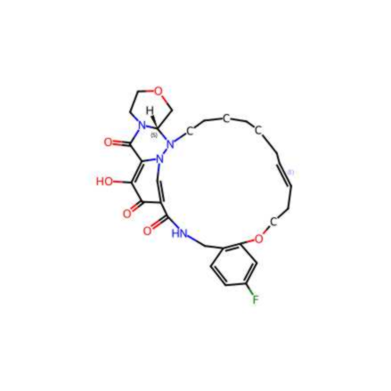 O=C1NCc2ccc(F)cc2OCC/C=C/CCCCCCN2[C@H]3COCCN3C(=O)c3c(O)c(=O)c1cn32